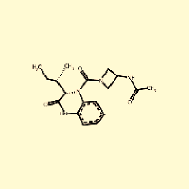 CC[C@H](C)[C@H]1C(=O)Nc2ccccc2N1C(=O)N1CC(NC(C)=O)C1